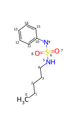 CCCCCNS(=O)(=O)[N]c1ccccc1